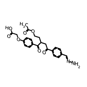 CC(=O)OCCC(CC(=O)c1ccc(C=NN)cc1)C(=O)c1ccc(OCC(=O)O)cc1